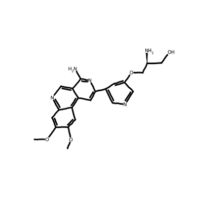 COc1cc2ncc3c(N)nc(-c4cncc(OC[C@@H](N)CO)c4)cc3c2cc1OC